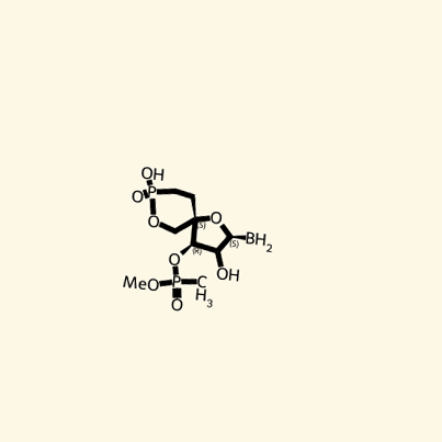 B[C@@H]1O[C@]2(CCP(=O)(O)OC2)[C@H](OP(C)(=O)OC)C1O